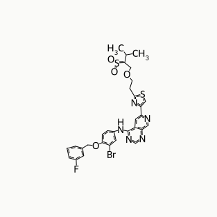 CC(C)C(COCCc1nc(-c2cc3c(Nc4ccc(OCc5cccc(F)c5)c(Br)c4)ncnc3cn2)cs1)=S(=O)=O